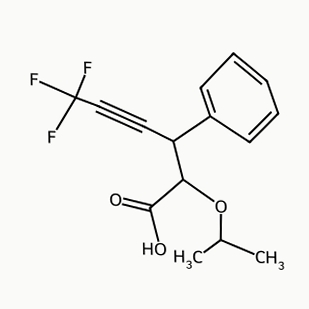 CC(C)OC(C(=O)O)C(C#CC(F)(F)F)c1ccccc1